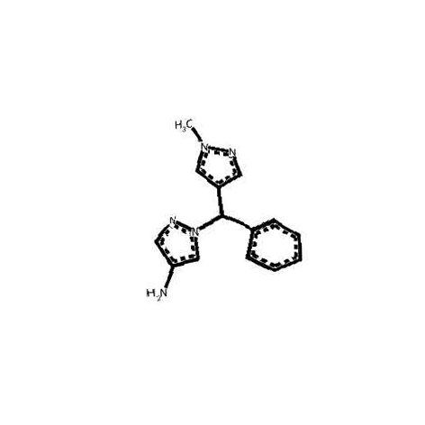 Cn1cc(C(c2ccccc2)n2cc(N)cn2)cn1